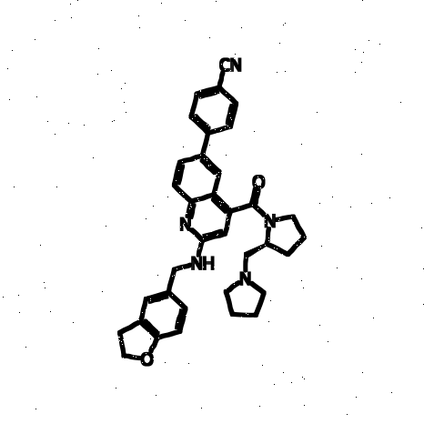 N#Cc1ccc(-c2ccc3nc(NCc4ccc5c(c4)CCO5)cc(C(=O)N4CCC[C@H]4CN4CCCC4)c3c2)cc1